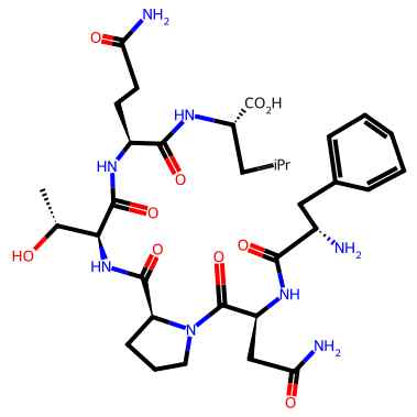 CC(C)C[C@H](NC(=O)[C@H](CCC(N)=O)NC(=O)[C@@H](NC(=O)[C@@H]1CCCN1C(=O)[C@H](CC(N)=O)NC(=O)[C@@H](N)Cc1ccccc1)[C@@H](C)O)C(=O)O